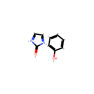 O=C1N=CC=N1.Oc1ccccc1